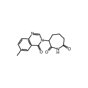 Cc1ccc2ncn(C3CCCC(=O)NC3=O)c(=O)c2c1